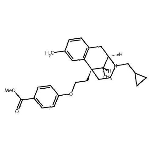 COC(=O)c1ccc(OCC[C@@]23CCN(CC4CC4)[C@H](Cc4ccc(C)cc42)[C@@H]3C)cc1